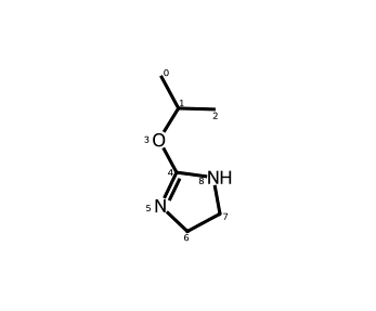 CC(C)OC1=NCCN1